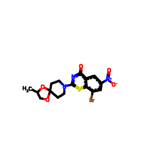 CC1COC2(CCN(c3nc(=O)c4cc([N+](=O)[O-])cc(Br)c4s3)CC2)O1